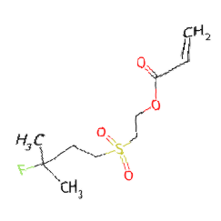 C=CC(=O)OCCS(=O)(=O)CCC(C)(C)F